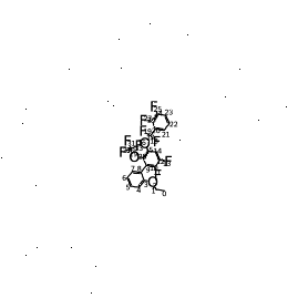 CCOc1ccccc1-c1c(F)c(F)[c]c(OC(F)(F)c2cccc(F)c2F)c1OC(F)(F)F